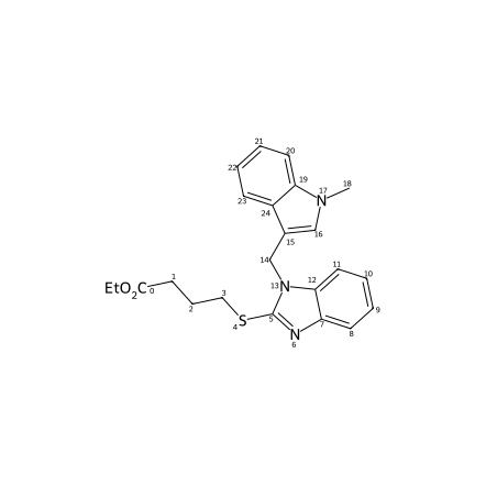 CCOC(=O)CCCSc1nc2ccccc2n1Cc1cn(C)c2ccccc12